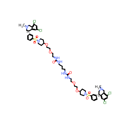 CN1Cc2c(Cl)cc(Cl)cc2[C@H](c2cccc(S(=O)(=O)N3CCC(OCCOCCNC(=O)NCCCCNC(=O)NCCOCCOC4CCN(S(=O)(=O)c5cccc([C@@H]6CN(C)Cc7c(Cl)cc(Cl)cc76)c5)CC4)CC3)c2)C1